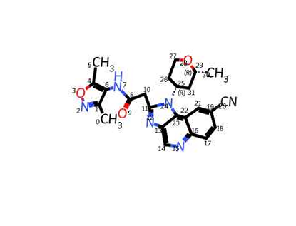 Cc1noc(C)c1NC(=O)Cc1nc2cnc3ccc(C#N)cc3c2n1[C@@H]1CCO[C@H](C)C1